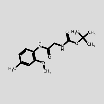 COc1cc(C)ccc1NC(=O)CNC(=O)OC(C)(C)C